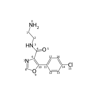 NCCNC(=O)c1ncoc1-c1ccc(Cl)cc1